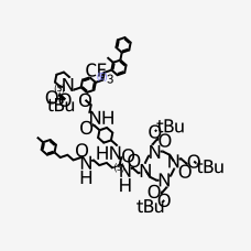 Cc1ccc(CCCC(=O)NCCCC[C@H](NC(=O)CN2CCN(CC(=O)OC(C)(C)C)CCN(CC(=O)OC(C)(C)C)CCN(CC(=O)OC(C)(C)C)CC2)C(=O)NCC2CCC(C(=O)NCCOc3cc(/C=C/c4cccc(-c5ccccc5)c4C)c(C(F)(F)F)cc3CN3CCCC[C@H]3C(=O)OC(C)(C)C)CC2)cc1